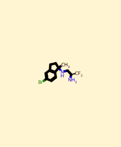 CC1(NC[C@H](N)C(F)(F)F)CCc2cc(Br)ccc21